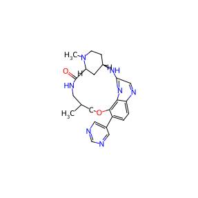 CC1CNC(=O)[C@@H]2C[C@H](CCN2C)Nc2cnc3ccc(-c4cncnc4)c(c3n2)OC1